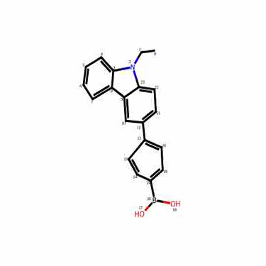 CCn1c2ccccc2c2cc(-c3ccc(B(O)O)cc3)ccc21